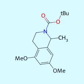 COc1cc(OC)c2c(c1)C(C)N(C(=O)OC(C)(C)C)CC2